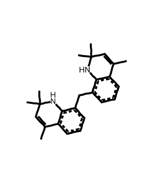 CC1=CC(C)(C)Nc2c(Cc3cccc4c3NC(C)(C)C=C4C)cccc21